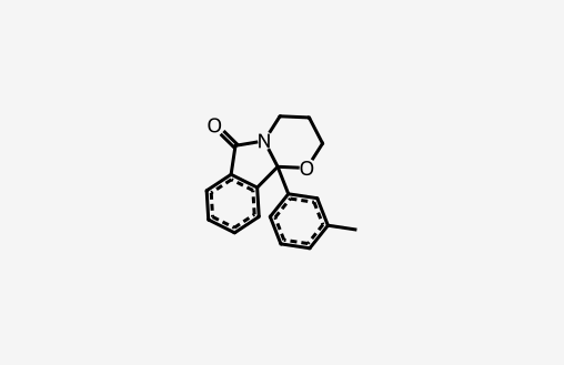 Cc1cccc(C23OCCCN2C(=O)c2ccccc23)c1